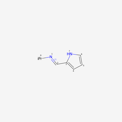 CC(C)/N=C/c1ccc[nH]1